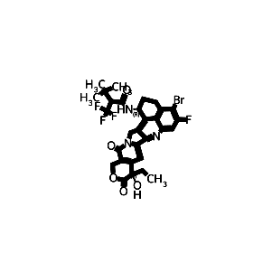 CC[C@@]1(O)C(=O)OCc2c1cc1n(c2=O)Cc2c-1nc1cc(F)c(Br)c3c1c2[C@H](NC(=O)C(C(C)(C)C)C(F)(F)F)CC3